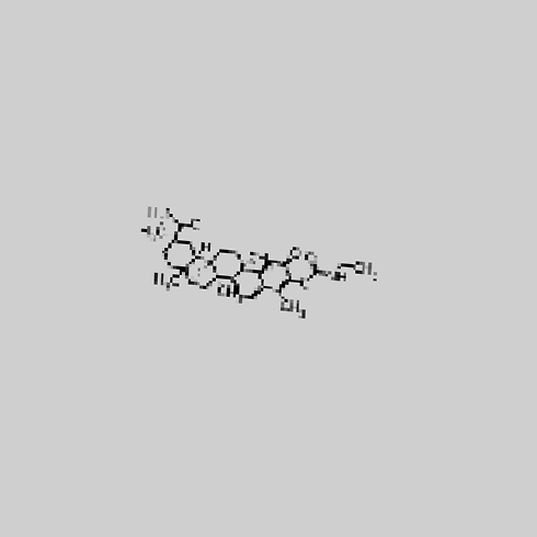 CCNC(=O)OC1=C(C)C2=CC=C3[C@@](C)(CC[C@@]4(C)[C@@H]5C[C@](C)(C(N)=O)CCC5(C)CC[C@]34C)C2=CC1=O